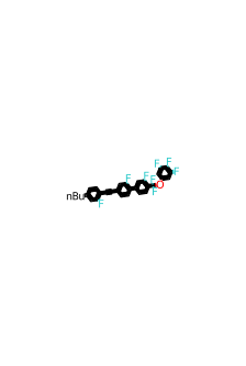 CCCCc1ccc(C#Cc2ccc(-c3ccc(C(F)(F)Oc4cc(F)c(F)c(F)c4)c(F)c3)c(F)c2)c(F)c1